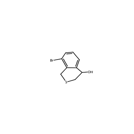 OC1CSCc2c(Br)cccc21